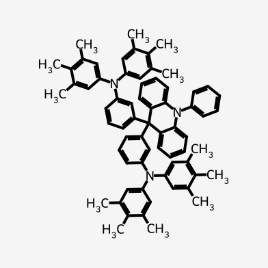 Cc1cc(N(c2cccc(C3(c4cccc(N(c5cc(C)c(C)c(C)c5)c5cc(C)c(C)c(C)c5)c4)c4ccccc4N(c4ccccc4)c4ccccc43)c2)c2cc(C)c(C)c(C)c2)cc(C)c1C